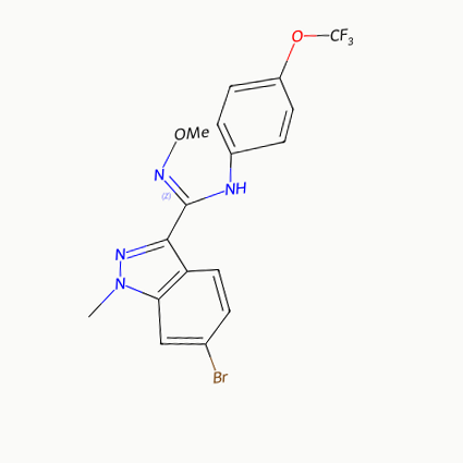 CO/N=C(\Nc1ccc(OC(F)(F)F)cc1)c1nn(C)c2cc(Br)ccc12